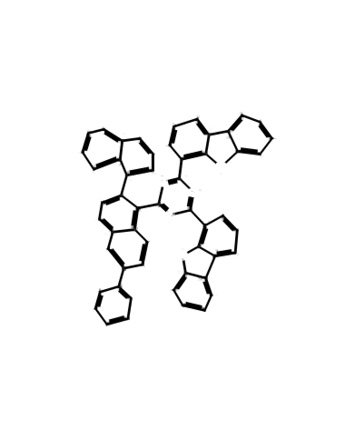 c1ccc(-c2ccc3c(-c4nc(-c5cccc6c5oc5ccccc56)nc(-c5cccc6c5oc5ccccc56)n4)c(-c4cccc5ccccc45)ccc3c2)cc1